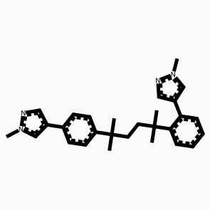 Cn1cc(-c2ccc(C(C)(C)CCC(C)(C)c3ccccc3-c3cnn(C)c3)cc2)cn1